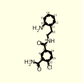 NC(=O)c1cc(C(=O)NCCc2ccccc2N)ccc1Cl